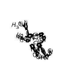 C/N=C\c1cncc(COc2cc(OCc3cccc(-c4cccc(COc5cc(OCc6cncc(/C=N/C)c6)c(CNC(CO)(Cc6ccccc6)C(=O)O)cc5Cl)c4C)c3C)c(Cl)cc2CNC(CO)(Cc2ccccc2)C(=O)O)c1